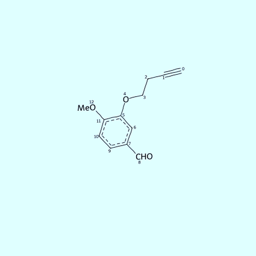 C#CCCOc1cc(C=O)ccc1OC